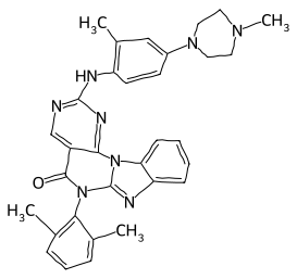 Cc1cc(N2CCN(C)CC2)ccc1Nc1ncc2c(=O)n(-c3c(C)cccc3C)c3nc4ccccc4n3c2n1